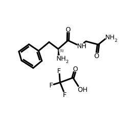 NC(=O)CNC(=O)[C@@H](N)Cc1ccccc1.O=C(O)C(F)(F)F